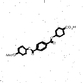 COC1CCC(OC(=O)c2ccc(C(=O)OC3CCC(C(=O)O)CC3)cc2)CC1